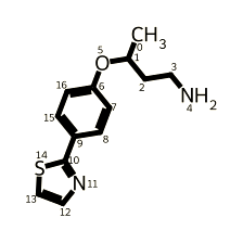 CC(CCN)Oc1ccc(-c2nccs2)cc1